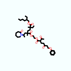 CCCCC(CC)COC(=O)C(C)(CC)CCC(C)(CC(C)N1CCCCCC1=O)C(=O)OCCOC(=O)C(CCC(=O)CCOc1ccccc1)C(C)=O